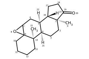 C[C@]12CC[C@@H]3[C@@H](CC4OC45CCCC[C@]35C)[C@@H]1CCC2=O